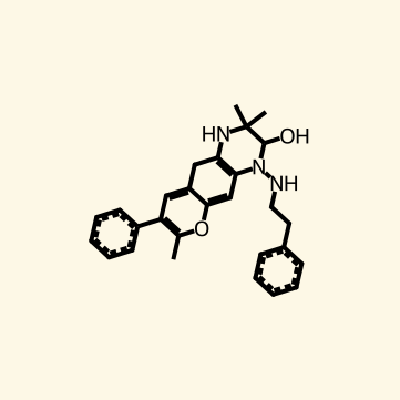 CC1=C(c2ccccc2)C=C2CC3=C(C=C2O1)N(NCCc1ccccc1)C(O)C(C)(C)N3